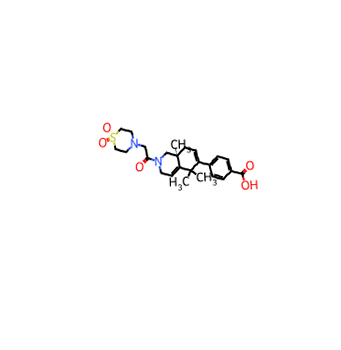 CC1(C)C(c2ccc(C(=O)O)cc2)=CC[C@]2(C)CN(C(=O)CN3CCS(=O)(=O)CC3)CC=C12